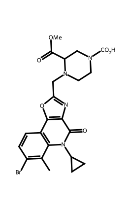 COC(=O)C1CN(C(=O)O)CCN1Cc1nc2c(=O)n(C3CC3)c3c(C)c(Br)ccc3c2o1